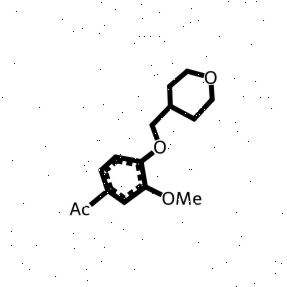 COc1cc(C(C)=O)ccc1OCC1CCOCC1